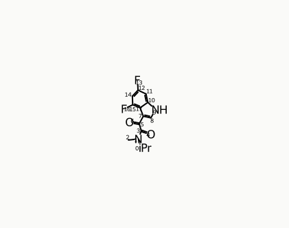 CC(C)N(C)C(=O)C(=O)c1c[nH]c2cc(F)cc(F)c12